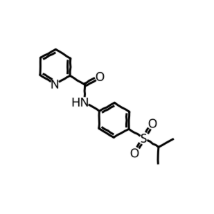 CC(C)S(=O)(=O)c1ccc(NC(=O)c2ccccn2)cc1